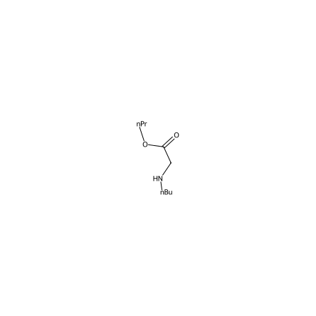 CCCCNCC(=O)OCCC